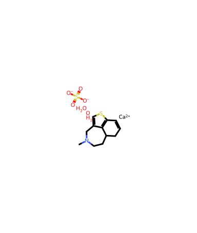 CN1CCC2CC=Cc3scc(c32)C1.O.O.O=S(=O)([O-])[O-].[Ca+2]